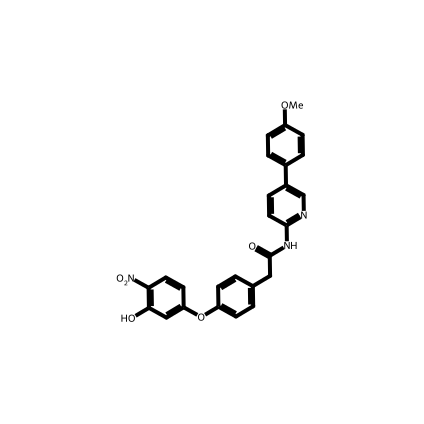 COc1ccc(-c2ccc(NC(=O)Cc3ccc(Oc4ccc([N+](=O)[O-])c(O)c4)cc3)nc2)cc1